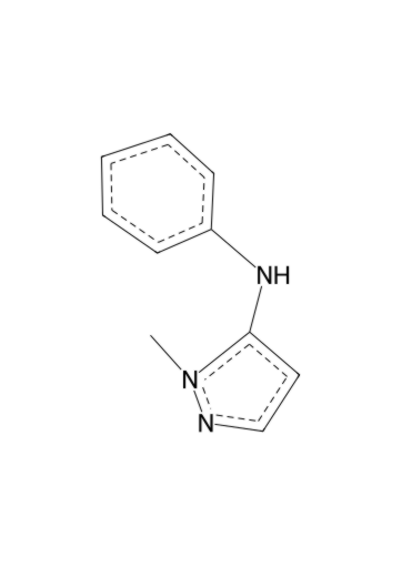 Cn1nccc1Nc1ccccc1